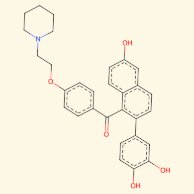 O=C(c1ccc(OCCN2CCCCC2)cc1)c1c(-c2ccc(O)c(O)c2)ccc2cc(O)ccc12